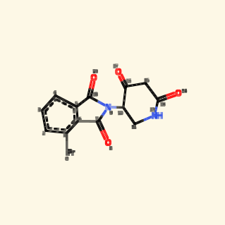 CC(C)c1cccc2c1C(=O)N(C1CNC(=O)CC1=O)C2=O